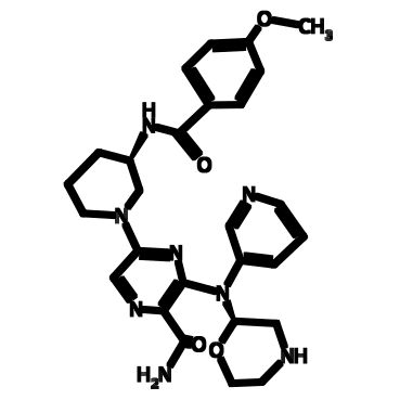 COc1ccc(C(=O)N[C@@H]2CCCN(c3cnc(C(N)=O)c(N(c4cccnc4)[C@H]4CNCCO4)n3)C2)cc1